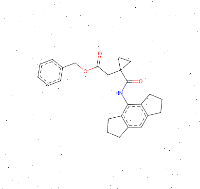 O=C(CC1(C(=O)Nc2c3c(cc4c2CCC4)CCC3)CC1)OCc1ccccc1